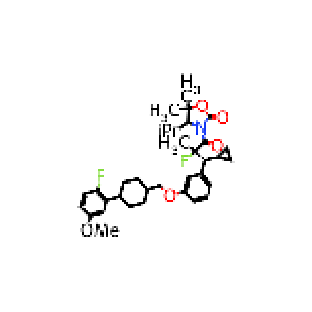 COc1ccc(F)c(C2CCC(COc3cccc([C@H](C4CC4)C(C)(F)C(=O)N4C(=O)OC(C)(C)C4C(C)C)c3)CC2)c1